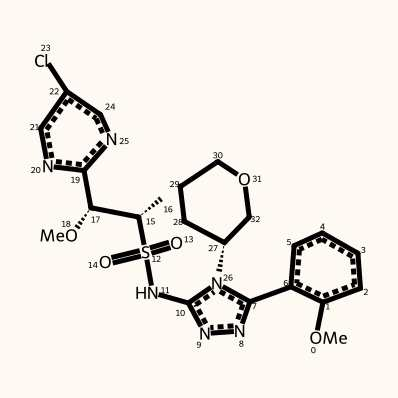 COc1ccccc1-c1nnc(NS(=O)(=O)[C@@H](C)[C@H](OC)c2ncc(Cl)cn2)n1[C@@H]1CCCOC1